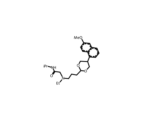 CCN(CCCC1OCC(c2cccc3cc(OC)ccc23)CO1)CC(=O)NC(C)C